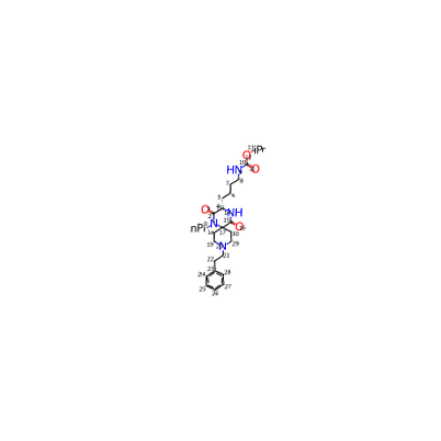 CCCN1C(=O)[C@H](CCCCNC(=O)OC(C)C)NC(=O)C12CCN(CCc1ccccc1)CC2